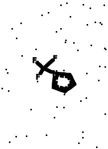 FC(F)(F)n1c[c]cc1